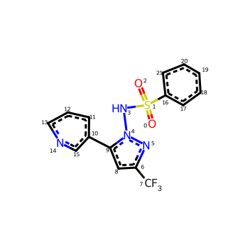 O=S(=O)(Nn1nc(C(F)(F)F)cc1-c1cccnc1)c1ccccc1